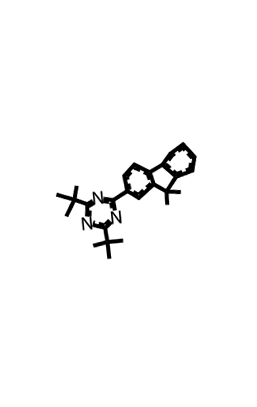 CC(C)(C)c1nc(-c2ccc3c(c2)C(C)(C)c2ccccc2-3)nc(C(C)(C)C)n1